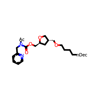 CCCCCCCCCCCCCCOC[C@H]1CO[C@H](COC(=O)N(Cc2ccccn2)C(C)=O)C1